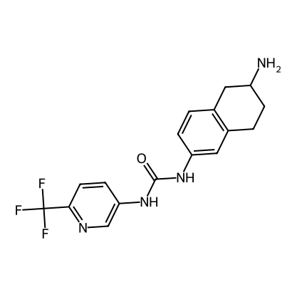 NC1CCc2cc(NC(=O)Nc3ccc(C(F)(F)F)nc3)ccc2C1